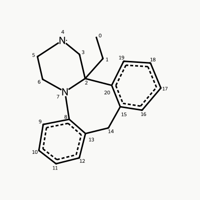 CCC12C[N]CCN1c1ccccc1Cc1ccccc12